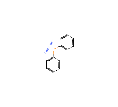 [N-]=[N+]=[N-].c1ccc(Pc2ccccc2)cc1